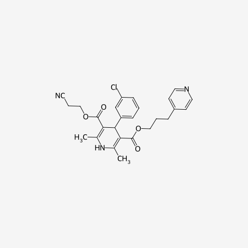 CC1=C(C(=O)OCCC#N)C(c2cccc(Cl)c2)C(C(=O)OCCCc2ccncc2)=C(C)N1